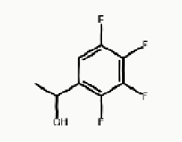 CC(O)c1cc(F)c(F)c(F)c1F